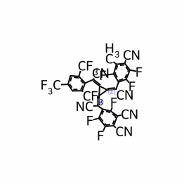 Cc1c(F)c(/C(C#N)=C2\C(=C(C#N)c3c(C(F)(F)F)cc(C(F)(F)F)cc3C(F)(F)F)\C2=C(/C#N)c2c(F)c(F)c(C#N)c(C#N)c2F)c(F)c(F)c1C#N